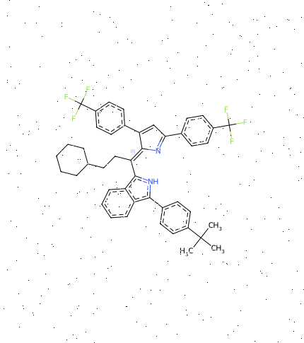 CC(C)(C)c1ccc(-c2[nH]c(/C(CCC3CCCCC3)=C3\N=C(c4ccc(C(F)(F)F)cc4)C=C3c3ccc(C(F)(F)F)cc3)c3ccccc23)cc1